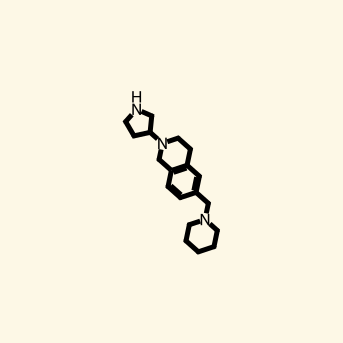 c1cc2c(cc1CN1CCCCC1)CCN(C1CCNC1)C2